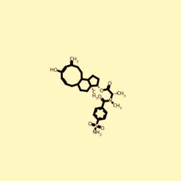 C=C1/C=C(O)\C=C/CC2CC[C@@]3(C)C(CC[C@@H]3OC(=O)[C@H](C)N(C)C(=O)c3ccc(S(N)(=O)=O)cc3)C2CC1